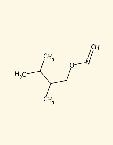 [CH]=NOCC(C)C(C)C